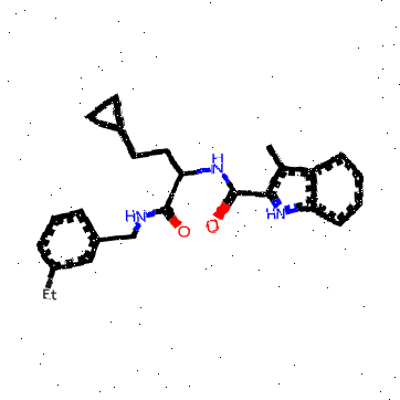 CCc1cccc(CNC(=O)C(CCC2CC2)NC(=O)c2[nH]c3ccccc3c2C)c1